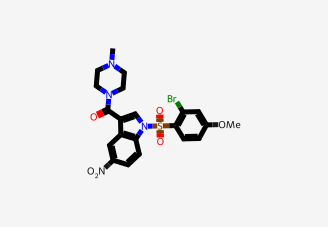 COc1ccc(S(=O)(=O)n2cc(C(=O)N3CCN(C)CC3)c3cc([N+](=O)[O-])ccc32)c(Br)c1